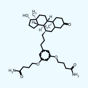 C[C@]12CC[C@H]3[C@@H]([C@H](CCCc4cc(OCCCC(N)=O)cc(OCCCC(N)=O)c4)CC4CC(=O)CC[C@@]43C)[C@@H]1CC[C@@H]2O